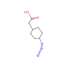 [N-]=[N+]=NC1CCC(CC(=O)O)CC1